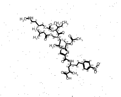 CC[C@H](C)[C@H](NC(=O)CCCCCNC)C(=O)N(COC(=O)CC(C)C)[C@H](C[C@@H](OC(C)=O)c1nc(C(=O)N[C@@H](CCc2ccc([N+](=O)[O-])cc2)CC(C)C(=O)O)cs1)C(C)C